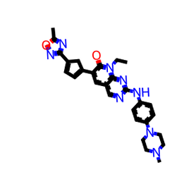 CCn1c(=O)c(C2=CC=C(c3noc(C)n3)C2)cc2cnc(Nc3ccc(N4CCN(C)CC4)cc3)nc21